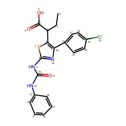 CCC(C(=O)O)c1sc(NC(=O)Nc2ccccc2)nc1-c1ccc(Cl)cc1